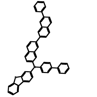 c1ccc(-c2ccc(N(c3ccc4ccc(-c5ccc6ccc(-c7ccccc7)cc6c5)cc4c3)c3ccc4c(c3)sc3ccccc34)cc2)cc1